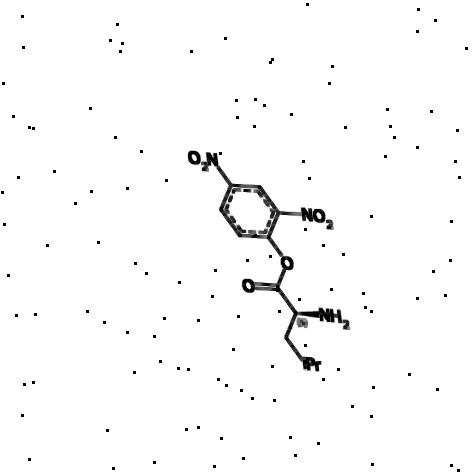 CC(C)C[C@H](N)C(=O)Oc1ccc([N+](=O)[O-])cc1[N+](=O)[O-]